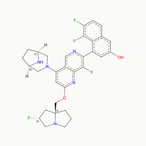 Oc1cc(-c2ncc3c(N4C[C@H]5CC[C@@H](C4)N5)cc(OC[C@@]45CCCN4C[C@H](F)C5)nc3c2F)c2c(F)c(F)ccc2c1